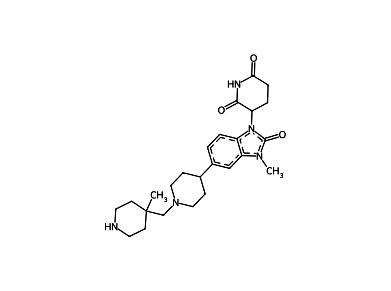 Cn1c(=O)n(C2CCC(=O)NC2=O)c2ccc(C3CCN(CC4(C)CCNCC4)CC3)cc21